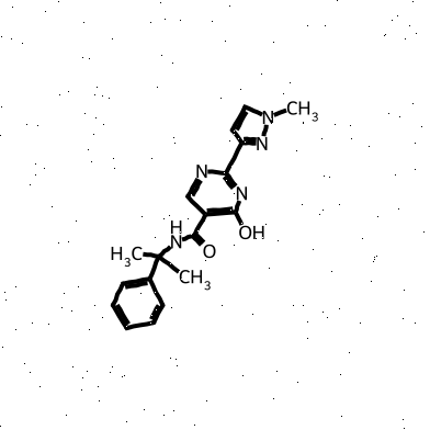 Cn1ccc(-c2ncc(C(=O)NC(C)(C)c3ccccc3)c(O)n2)n1